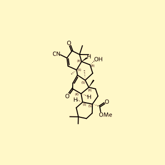 [C-]#[N+]C1=C[C@]2(C)C3=CC(=O)[C@@H]4[C@@H]5CC(C)(C)CC[C@]5(C(=O)OC)CC[C@@]4(C)[C@]3(C)C[C@@H](O)[C@H]2C(C)(C)C1=O